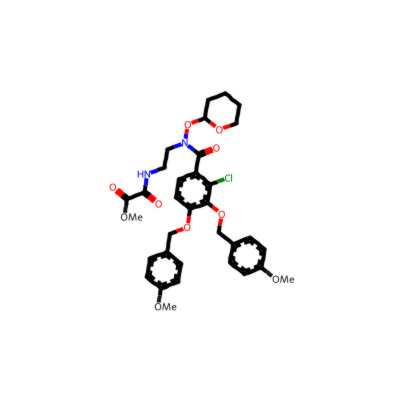 COC(=O)C(=O)NCCN(OC1CCCCO1)C(=O)c1ccc(OCc2ccc(OC)cc2)c(OCc2ccc(OC)cc2)c1Cl